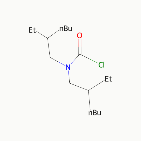 CCCCC(CC)CN(CC(CC)CCCC)C(=O)Cl